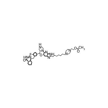 CC(=O)OCCN1CCN(CCCCCCCc2nc3ccc(N4CCNCC4C(=O)c4ccc(F)c(Cc5n[nH]c(=O)c6ccccc56)c4)nc3[nH]2)CC1